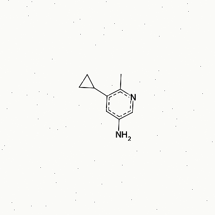 Cc1ncc(N)cc1C1CC1